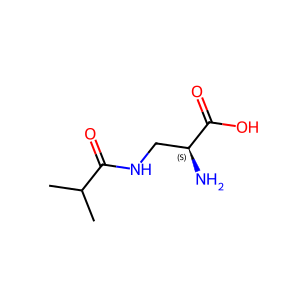 CC(C)C(=O)NC[C@H](N)C(=O)O